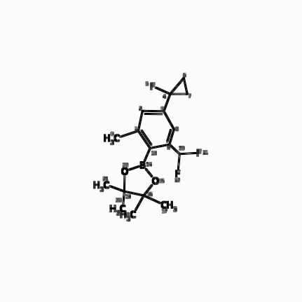 Cc1cc(C2(F)CC2)cc(C(F)F)c1B1OC(C)(C)C(C)(C)O1